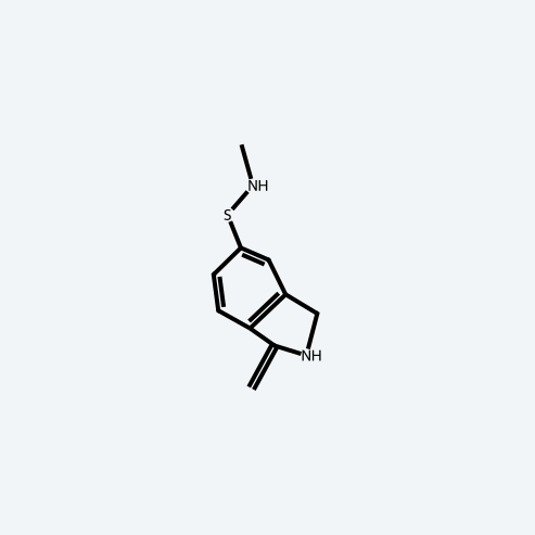 C=C1NCc2cc(SNC)ccc21